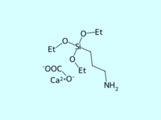 CCO[Si](CCCN)(OCC)OCC.O=C([O-])[O-].[Ca+2]